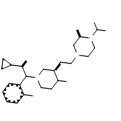 CC(C(=O)O)N1CCN(CC=C2CN(C(C(=O)C3CC3)c3ccccc3F)CCC2S)CC1=O